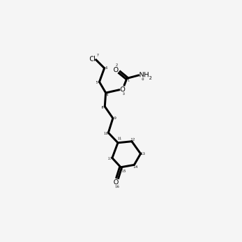 NC(=O)OC(CCCl)CCCC1CCCC(=O)C1